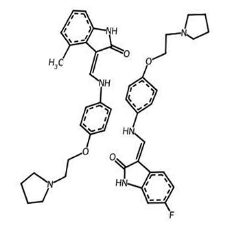 Cc1cccc2c1C(=CNc1ccc(OCCN3CCCC3)cc1)C(=O)N2.O=C1Nc2cc(F)ccc2C1=CNc1ccc(OCCN2CCCC2)cc1